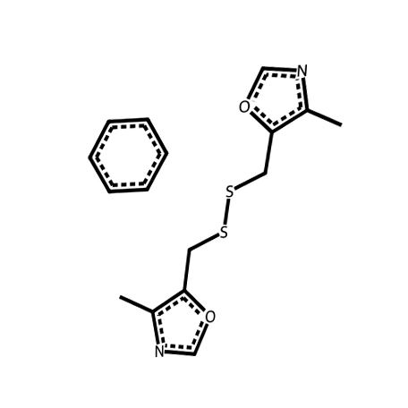 Cc1ncoc1CSSCc1ocnc1C.c1ccccc1